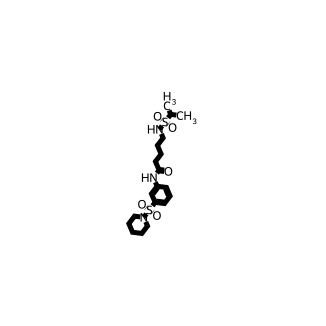 CC(C)S(=O)(=O)NCCCCC(=O)Nc1cccc(S(=O)(=O)N2CCCCC2)c1